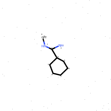 CCCNC([NH])C1CCCCC1